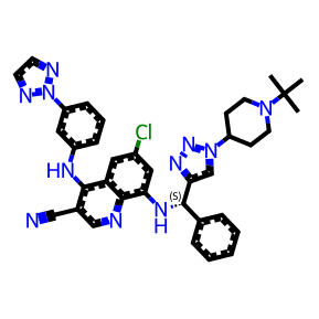 CC(C)(C)N1CCC(n2cc([C@@H](Nc3cc(Cl)cc4c(Nc5cccc(-n6nccn6)c5)c(C#N)cnc34)c3ccccc3)nn2)CC1